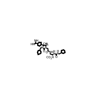 C[C@]1(c2ccc(C(=N)N)cc2)C(=O)N(CC(=O)NC[C@H](NC(=O)NCc2ccccc2)C(=O)O)C(=O)N1Cc1ccccc1